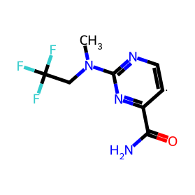 CN(CC(F)(F)F)c1nc[c]c(C(N)=O)n1